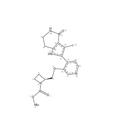 CC(C)(C)OC(=O)N1CC[C@H]1COc1cnccc1-c1[nH]c2c(c1I)C(=O)NCC2